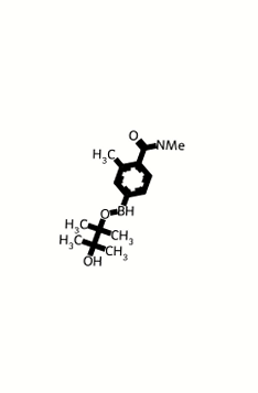 CNC(=O)c1ccc(BOC(C)(C)C(C)(C)O)cc1C